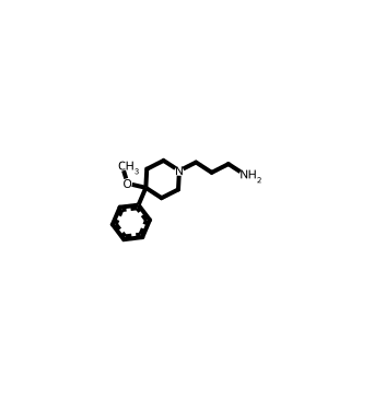 COC1(c2ccccc2)CCN(CCCN)CC1